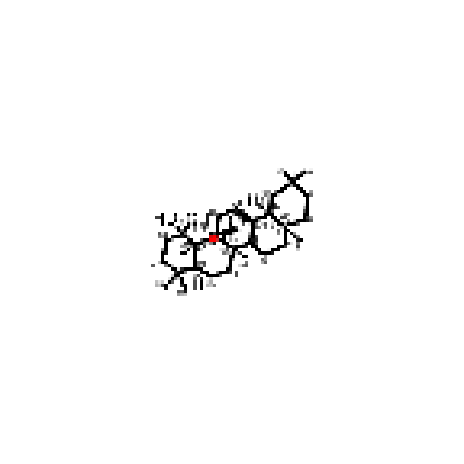 CC1(C)CC[C@]2(C)CC[C@]3(C(=O)O)C(=CC[C@@H]4[C@]5(C)[C@@H](CC[C@]43C)C(C)(C)CCC5(O)O)[C@@H]2C1